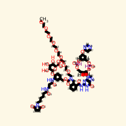 COCCOCCOCCOCCOCCOCCOCCOCCN(Cc1ccccc1C(=O)Nc1nc2c(ncn2[C@@H]2O[C@@H]3CO[PH](=O)O[C@H]4C[C@H](Oc5ccncn5)C[C@@H]4CO[PH](=O)O[C@@H]2[C@@H]3O)c(=O)[nH]1)C(=O)OCc1ccc(O[C@@H]2O[C@H](C(=O)O)[C@@H](O)[C@H](O)[C@H]2O)c(NC(=O)CCNC(=O)CCCCCN2C(=O)C=CC2=O)c1